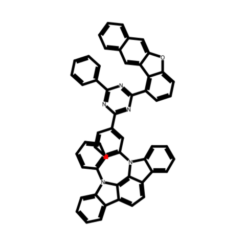 c1ccc(-c2nc(-c3cccc(-n4c5ccccc5c5ccc6c7ccccc7n(-c7ccccc7)c6c54)c3)nc(-c3cccc4oc5cc6ccccc6cc5c34)n2)cc1